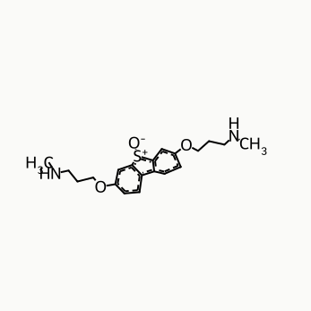 CNCCCOc1ccc2c3ccc(OCCCNC)cc3[s+]([O-])c2c1